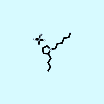 CCCCCCN1CCCC1CCCC.CS(=O)(=O)O